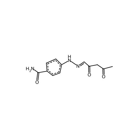 CC(=O)CC(=O)C=NNc1ccc(C(N)=O)cc1